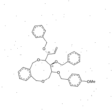 C=C[C@@H](OCc1ccccc1)C1OCc2ccccc2COCC(OCc2ccc(OC)cc2)[C@@H]1OCc1ccccc1